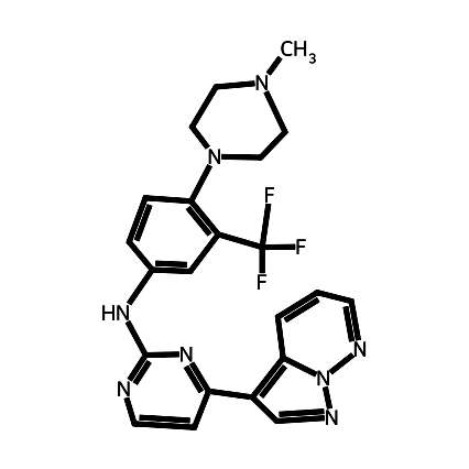 CN1CCN(c2ccc(Nc3nccc(-c4cnn5ncccc45)n3)cc2C(F)(F)F)CC1